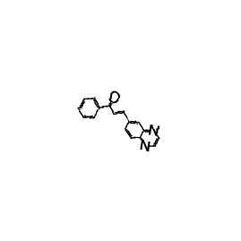 O=C(/C=C/c1ccc2nccnc2c1)c1ccccc1